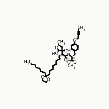 CC#CCOc1ccc(C[C@H](NC(=O)[C@@H](C=CCCCCCCC2(CCCCCCC)OCCO2)[C@@](O)(CCC)C(=O)O)C(=O)OC)cc1